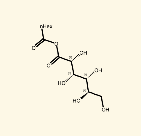 CCCCCCC(=O)OC(=O)[C@H](O)[C@@H](O)[C@H](O)[C@H](O)CO